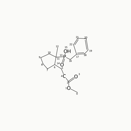 COC(=O)CCC1CCCCC1(C)P(=O)(O)Cc1ccccc1